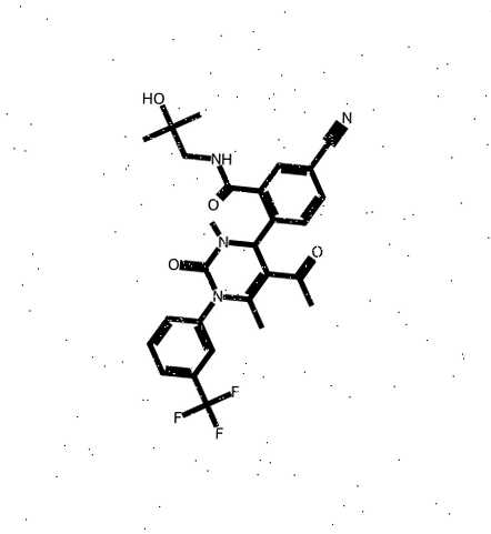 CC(=O)C1=C(C)N(c2cccc(C(F)(F)F)c2)C(=O)N(C)C1c1ccc(C#N)cc1C(=O)NCC(C)(C)O